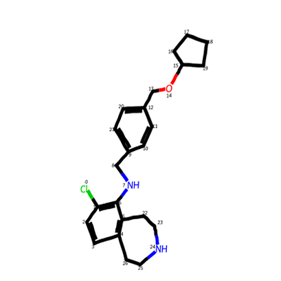 Clc1ccc2c(c1NCc1ccc(COC3CCCC3)cc1)CCNCC2